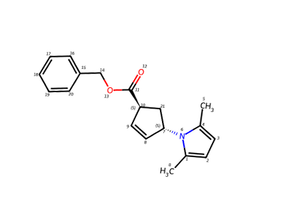 Cc1ccc(C)n1[C@@H]1C=C[C@@H](C(=O)OCc2ccccc2)C1